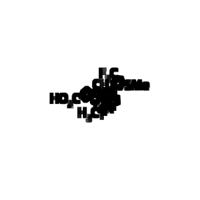 CSc1cc(CN2CCn3nc(C(C)(F)F)c(C(=O)NC(C)c4ccc(C(=O)O)cc4)c32)cc(C(F)(F)F)c1